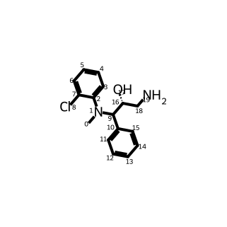 CN(c1ccccc1Cl)C(c1ccccc1)[C@H](O)CN